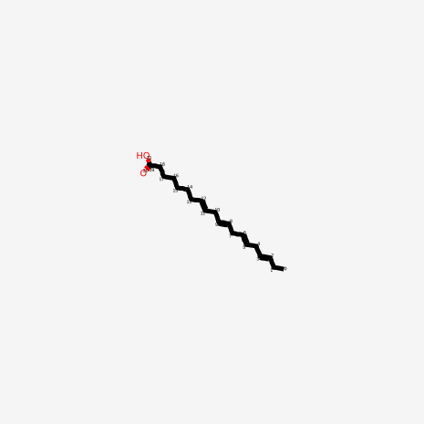 CCC=CCC=CCC=CCC=CCCCCCCC(=O)O